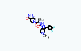 CN1CCc2c(c(-c3cc(F)c(F)cc3F)nn2C(=O)N[C@H](C(=O)N2CCC(C(N)=O)CC2)C(C)(C)C)C1